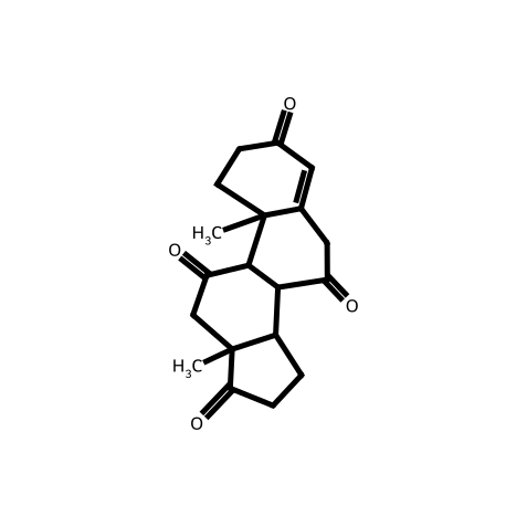 CC12CC(=O)C3C(C(=O)CC4=CC(=O)CCC43C)C1CCC2=O